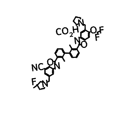 Cc1c(-c2nc3cc(CN4CCC[C@H]4C(=O)O)c(OC(F)F)cc3o2)cccc1-c1cccc(-c2nc3cc(CN4CCC(C)(F)C4)cc(C#N)c3o2)c1C